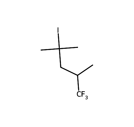 CC(CC(C)(C)I)C(F)(F)F